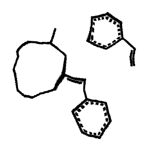 C=Cc1ccccc1.CC1CCCCCCC(=Cc2ccccc2)C1